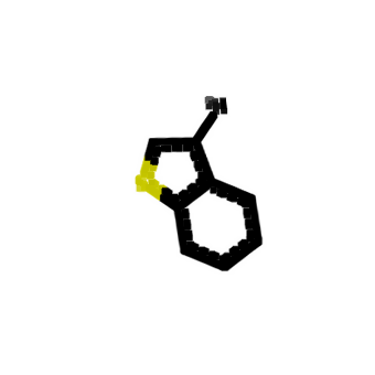 [2H]c1csc2ccccc12